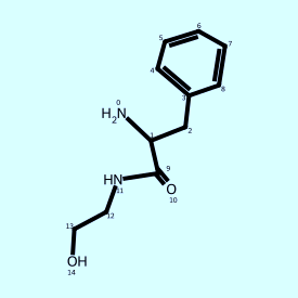 NC(Cc1ccccc1)C(=O)NCCO